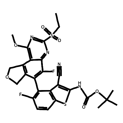 CCS(=O)(=O)c1nc(OC)c2c3c(c(-c4c(F)ccc5sc(NC(=O)OC(C)(C)C)c(C#N)c45)c(F)c2n1)COC3